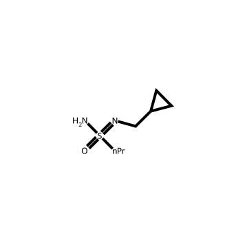 CCCS(N)(=O)=NCC1CC1